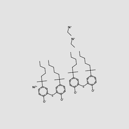 CCCCCC(C)(C)c1ccc([O-])c(Sc2cc(C(C)(C)CCCCC)ccc2[O-])c1.CCCCCC(C)(C)c1ccc([O-])c(Sc2cc(C(C)(C)CCCCC)ccc2[O-])c1.C[CH2][Ni+].C[CH2][Ni+].[Ni+2]